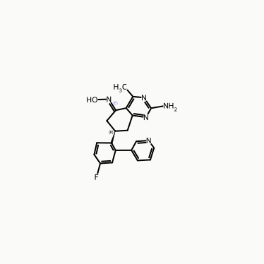 Cc1nc(N)nc2c1/C(=N/O)C[C@H](c1ccc(F)cc1-c1cccnc1)C2